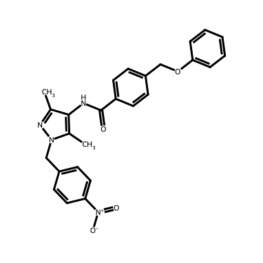 Cc1nn(Cc2ccc([N+](=O)[O-])cc2)c(C)c1NC(=O)c1ccc(COc2ccccc2)cc1